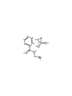 O=C(OCBr)c1ccccc1.O=S1(=O)CC1